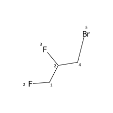 FCC(F)CBr